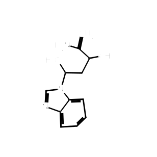 C=C(N)C(C)CC(C)n1cnc2ccccc21